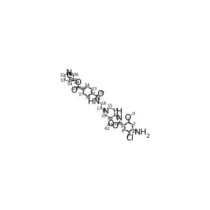 COc1cc(N)c(Cl)cc1C(=O)N[C@@H]1CCN(CCNC(=O)c2ccc(C(=O)OC3CN4CCC3CC4)cc2)C[C@@H]1OC